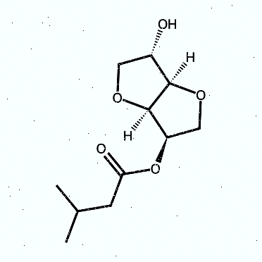 CC(C)CC(=O)O[C@@H]1CO[C@H]2[C@@H]1OC[C@@H]2O